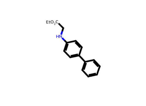 CCOC(=O)CNc1ccc(-c2c[c]ccc2)cc1